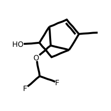 CC1=CC2C(O)CC1C2OC(F)F